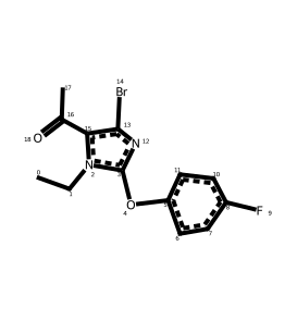 CCn1c(Oc2ccc(F)cc2)nc(Br)c1C(C)=O